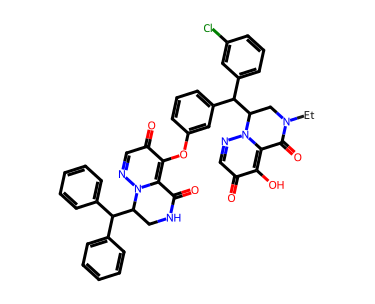 CCN1CC(C(c2cccc(Cl)c2)c2cccc(Oc3c4n(ncc3=O)C(C(c3ccccc3)c3ccccc3)CNC4=O)c2)n2ncc(=O)c(O)c2C1=O